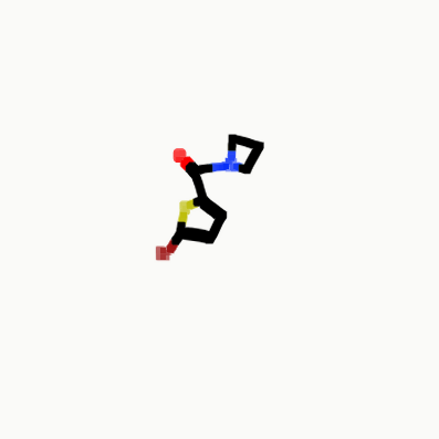 O=C(c1ccc(Br)s1)N1CCC1